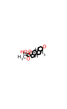 CCC(=O)[C@]1(C(=O)CO)CC[C@H]2[C@@H]3CCC4=CC(=O)CC[C@]4(C)[C@H]3CC[C@@]21C